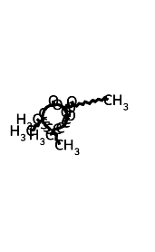 CCCC/C=C/CCCCCC(=O)OCC1COC(=O)CCCCCC(C(C)CCCC)SSSC(C(C)CCCC)CCCCCC(=O)O1